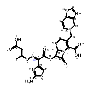 CC(CC(=O)O)O/N=C(/C(=O)NC1C(=O)N2C(C(=O)O)=C(CN3C=Cc4scnc4C3)CS[C@H]12)c1csc(N)n1